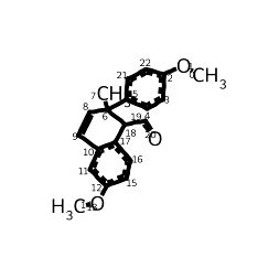 COc1ccc(C2(C)C=Cc3cc(OC)ccc3C2C=O)cc1